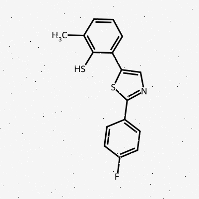 Cc1cccc(-c2cnc(-c3ccc(F)cc3)s2)c1S